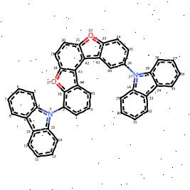 c1cc(-n2c3ccccc3c3ccccc32)c2oc3ccc4oc5ccc(-n6c7ccccc7c7ccccc76)cc5c4c3c2c1